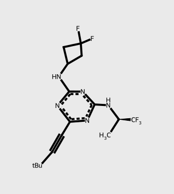 C[C@@H](Nc1nc(C#CC(C)(C)C)nc(NC2CC(F)(F)C2)n1)C(F)(F)F